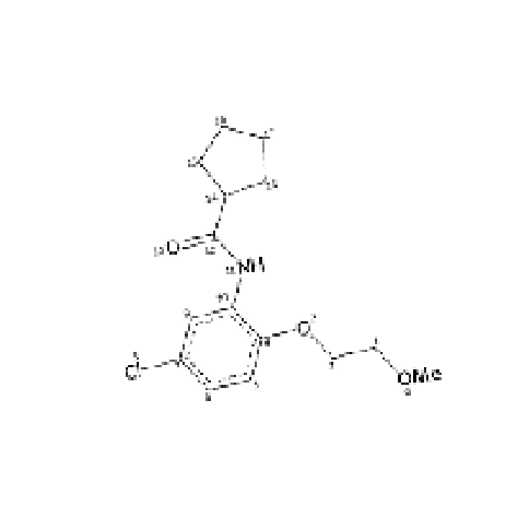 COCCOc1ccc(Cl)cc1NC(=O)C1CCCC1